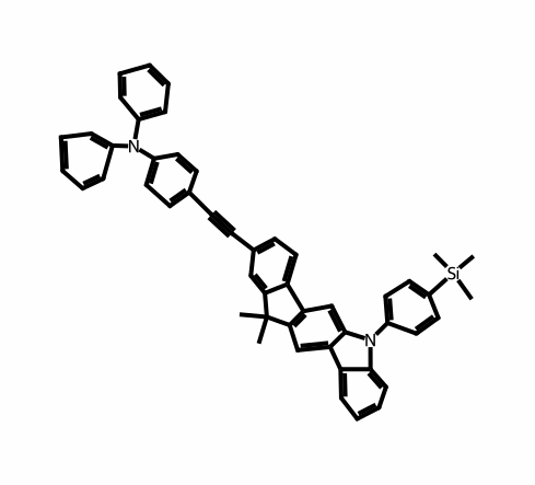 CC1(C)c2cc(C#Cc3ccc(N(c4ccccc4)c4ccccc4)cc3)ccc2-c2cc3c(cc21)c1ccccc1n3-c1ccc([Si](C)(C)C)cc1